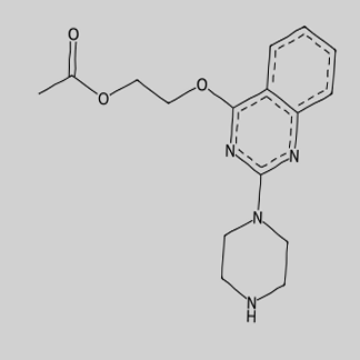 CC(=O)OCCOc1nc(N2CCNCC2)nc2ccccc12